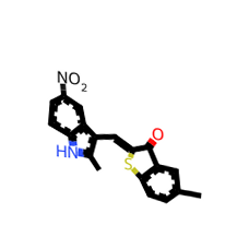 Cc1ccc2c(c1)C(=O)C(=Cc1c(C)[nH]c3ccc([N+](=O)[O-])cc13)S2